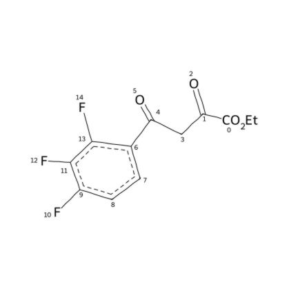 CCOC(=O)C(=O)CC(=O)c1ccc(F)c(F)c1F